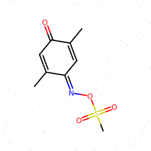 CC1=CC(=NOS(C)(=O)=O)C(C)=CC1=O